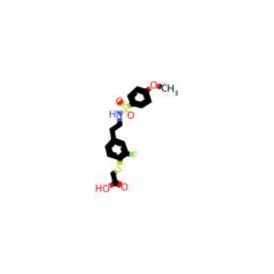 COc1ccc(S(=O)(=O)NCCc2ccc(SCC(=O)O)c(F)c2)cc1